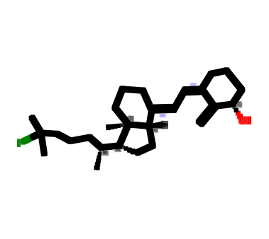 C=C1/C(=C\C=C2/CCC[C@]3(C)[C@@H]([C@H](C)CCCC(C)(C)F)CC[C@@H]23)CCC[C@@H]1O